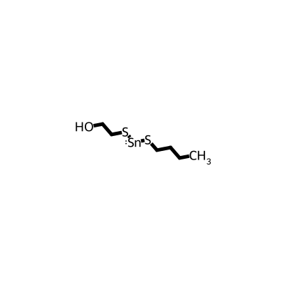 CCCC[S][Sn][S]CCO